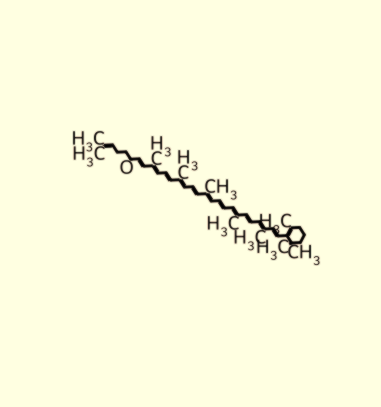 CC(C)=CCCC(=O)/C=C/C(C)=C/C=C/C(C)=C/C=C/C(C)=C/C=C/C=C(C)/C=C/C=C(C)/C=C/C1=C(C)CCCC1(C)C